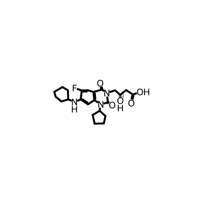 O=C(O)C[C@H](O)Cn1c(=O)c2cc(F)c(NC3CCCCC3)cc2n(C2CCCC2)c1=O